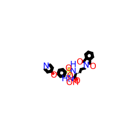 O=C(NO)[C@@H](CCCN1C(=O)c2ccccc2C1=O)NS(=O)(=O)c1ccc(Oc2ccncc2)cc1